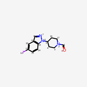 O=CN1CCC(n2ncc3cc(I)ccc32)CC1